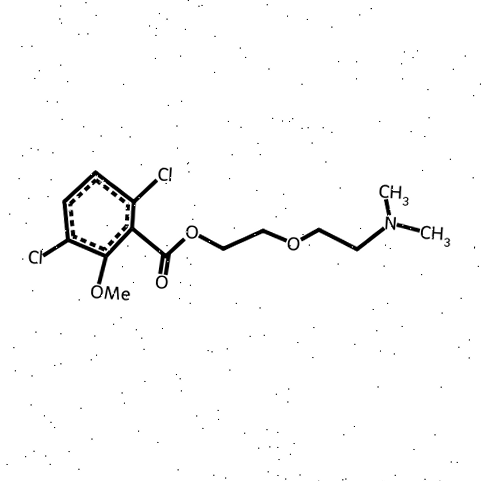 COc1c(Cl)ccc(Cl)c1C(=O)OCCOCCN(C)C